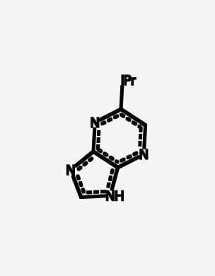 CC(C)c1cnc2[nH]cnc2n1